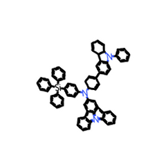 C1=CC2c3cc(C4=CCC(N(c5ccc([Si](c6ccccc6)(c6ccccc6)c6ccccc6)cc5)c5cc6c7ccccc7n7c8ccccc8c(c5)c67)C=C4)ccc3N(c3ccccc3)C2C=C1